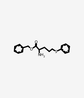 NC(CCCSc1ccccc1)C(=O)OCc1ccccc1